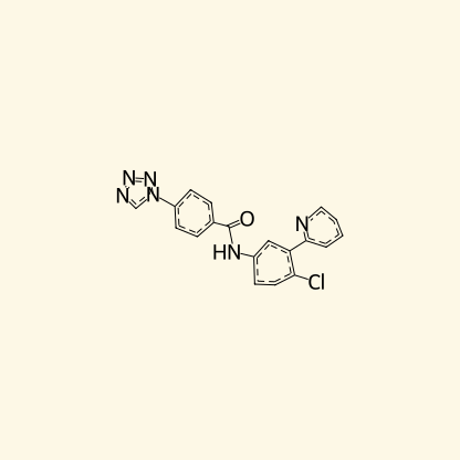 O=C(Nc1ccc(Cl)c(-c2ccccn2)c1)c1ccc(-n2cnnn2)cc1